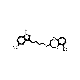 CCc1cccc2c1OCC(NCCCCc1c[nH]c3ccc(C#N)cc13)CO2